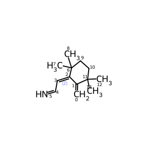 C=C1/C(=C\C=N)C(C)(C)CCC1(C)C